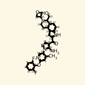 Cc1cc(Oc2c(F)cccc2F)ncc1-n1ncc(C(=O)c2cc3c4c(ccc3[nH]2)C(CO)N(C2COC2)CC4)c1N